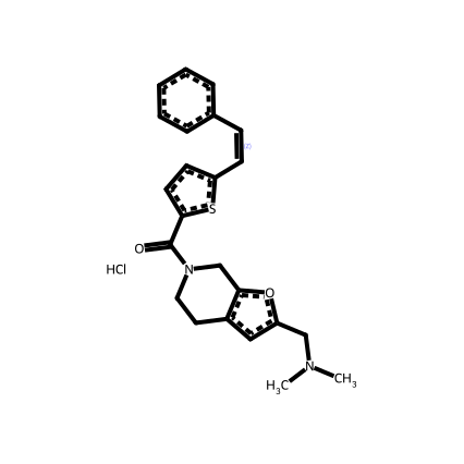 CN(C)Cc1cc2c(o1)CN(C(=O)c1ccc(/C=C\c3ccccc3)s1)CC2.Cl